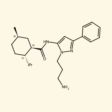 CC(C)[C@@H]1CC[C@@H](C)C[C@H]1C(=O)Nc1cc(-c2ccccc2)nn1CCCN